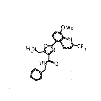 COc1ccc(-c2nc(C(=O)NCc3ccccc3)c(CN)o2)c2ccc(C(F)(F)F)nc12